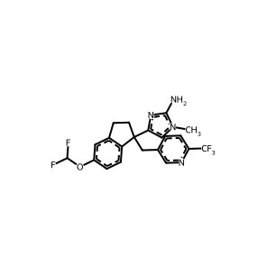 Cn1cc(C2(Cc3ccc(C(F)(F)F)nc3)CCc3cc(OC(F)F)ccc32)nc1N